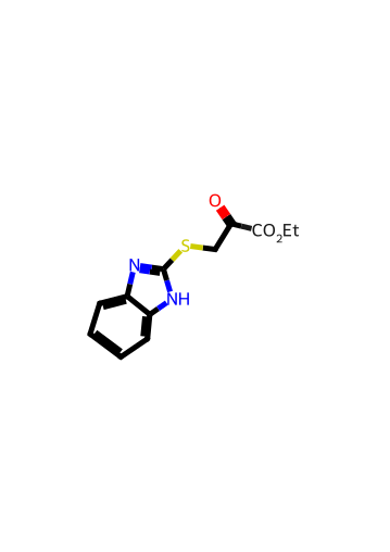 CCOC(=O)C(=O)CSc1nc2ccccc2[nH]1